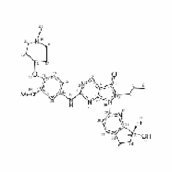 C=CCn1c(=O)c2cnc(Nc3ccc(OC4CCN(C)CC4)c(OC)c3)nc2n1-c1ccc2c(n1)[C@@](O)(CC)CC2